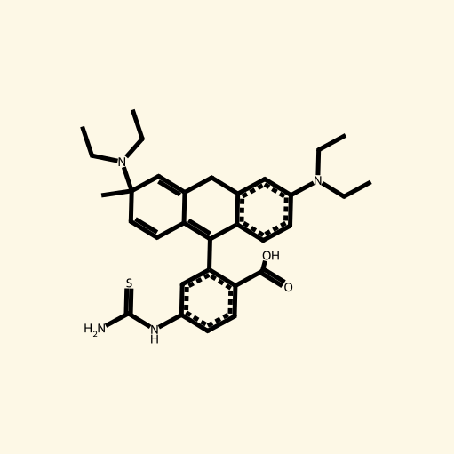 CCN(CC)c1ccc2c(c1)CC1=CC(C)(N(CC)CC)C=CC1=C2c1cc(NC(N)=S)ccc1C(=O)O